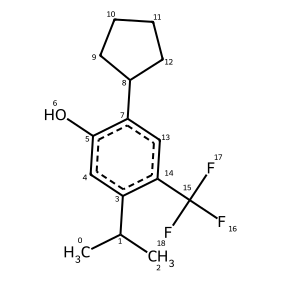 CC(C)c1cc(O)c(C2CCCC2)cc1C(F)(F)F